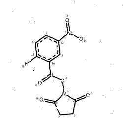 O=C(ON1C(=O)CCC1=O)c1cc([N+](=O)[O-])ccc1F